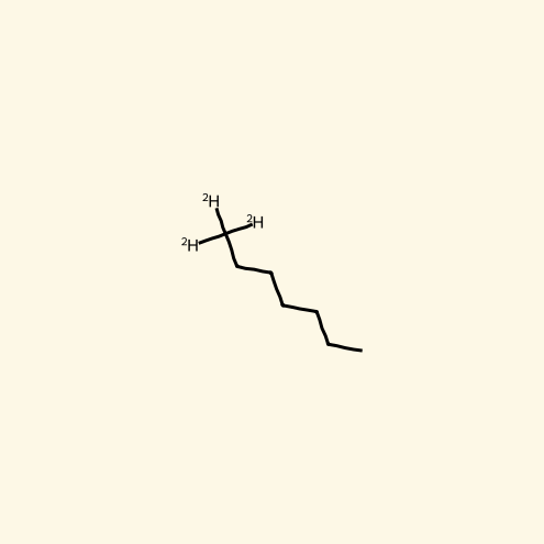 [2H]C([2H])([2H])CCCCCC